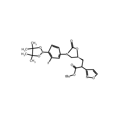 CC(C)(C)OC(=O)C(C[C@H]1CN(c2ccc(B3OC(C)(C)C(C)(C)O3)c(F)c2)C(=O)O1)c1ccon1